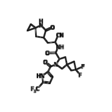 N#CC(CC1CC2(CC2)NC1=O)NC(=O)C1CC2(CN1C(=O)c1ccc(C(F)(F)F)[nH]1)CC(F)(F)C2